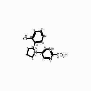 O=C(O)c1ncc(N2CCC[C@H]2c2ccccc2Cl)cn1